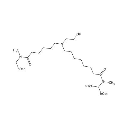 CCCCCCCCCCCN(C)C(=O)CCCCCN(CCO)CCCCCCCC(=O)N(C)C(CCCCCCCC)CCCCCCCC